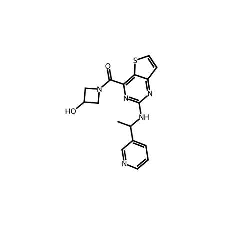 CC(Nc1nc(C(=O)N2CC(O)C2)c2sccc2n1)c1cccnc1